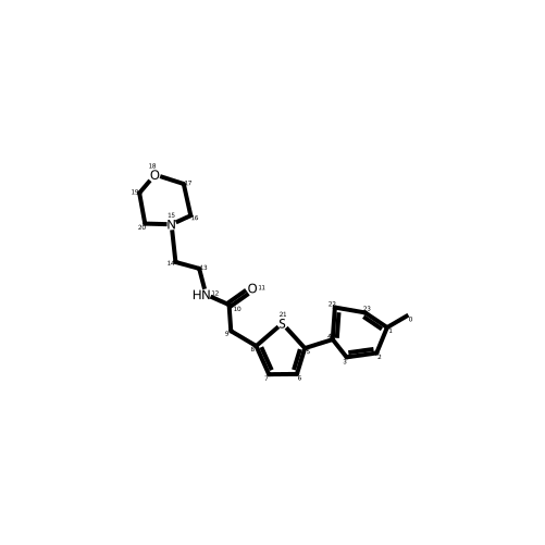 Cc1ccc(-c2ccc(CC(=O)NCCN3CCOCC3)s2)cc1